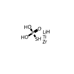 O=P(O)(O)S.[LiH].[Ti].[Zr]